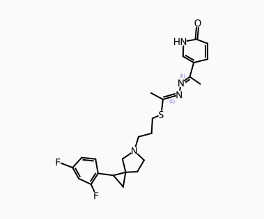 C/C(=N\N=C(/C)c1ccc(=O)[nH]c1)SCCCN1CCC2(CC2c2ccc(F)cc2F)C1